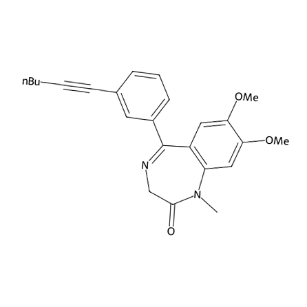 CCCCC#Cc1cccc(C2=NCC(=O)N(C)c3cc(OC)c(OC)cc32)c1